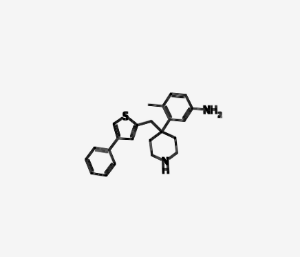 Cc1ccc(N)cc1C1(Cc2cc(-c3ccccc3)cs2)CCNCC1